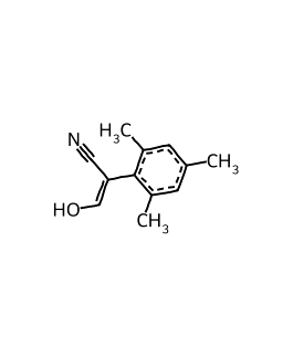 Cc1cc(C)c(C(C#N)=CO)c(C)c1